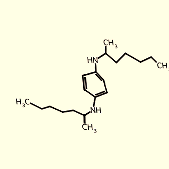 CCCCCC(C)Nc1ccc(NC(C)CCCCC)cc1